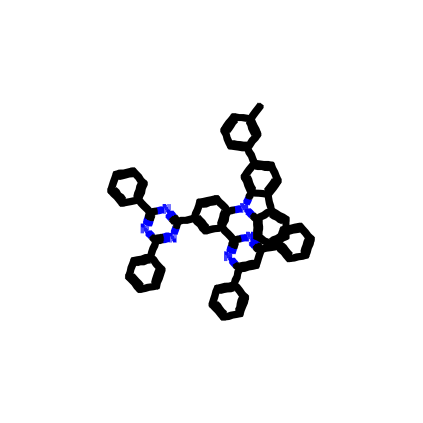 Cc1cccc(-c2ccc3c4ccccc4n(-c4ccc(-c5nc(-c6ccccc6)nc(-c6ccccc6)n5)cc4-c4nc(-c5ccccc5)cc(-c5ccccc5)n4)c3c2)c1